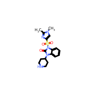 Cc1nc(S(=O)(=O)n2c(=O)n(C3CCNCC3)c3ccccc32)cn1C